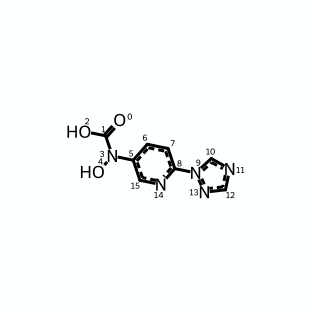 O=C(O)N(O)c1ccc(-n2cncn2)nc1